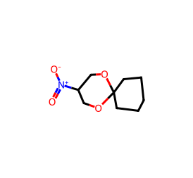 O=[N+]([O-])C1COC2(CCCCC2)OC1